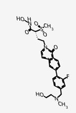 CN(CCO)Cc1ccc(-c2ccc3c(=O)n(CC[C@H](C(=O)NO)S(C)(=O)=O)ccc3c2)c(F)c1